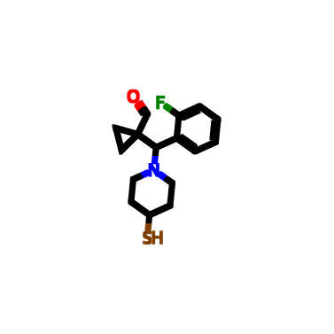 O=CC1(C(c2ccccc2F)N2CCC(S)CC2)CC1